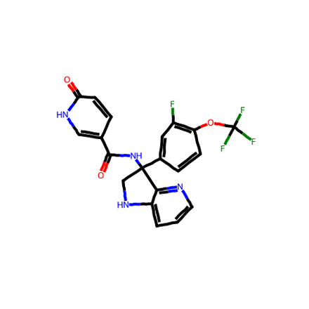 O=C(NC1(c2ccc(OC(F)(F)F)c(F)c2)CNc2cccnc21)c1ccc(=O)[nH]c1